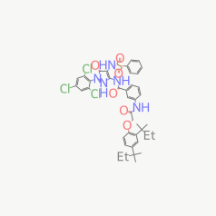 CCC(C)(C)c1ccc(OCC(=O)Nc2cccc(C(=O)Nc3[nH]n(-c4c(Cl)cc(Cl)cc4Cl)c(=O)c3NS(=O)(=O)c3ccccc3)c2)c(C(C)(C)CC)c1